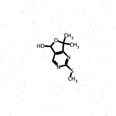 CSc1ncc2c(n1)C(C)(C)OC2O